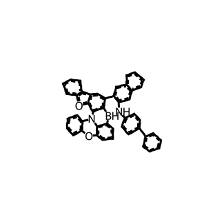 B1c2cccc3c2N(c2ccccc2O3)c2c1c(-c1cc3ccccc3cc1Nc1ccc(-c3ccccc3)cc1)cc1c2oc2ccccc21